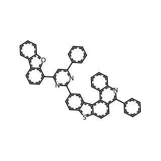 c1ccc(-c2cc(-c3cccc4c3oc3ccccc34)nc(-c3ccc4sc5ccc6c(-c7ccccc7)nc7ccccc7c6c5c4c3)n2)cc1